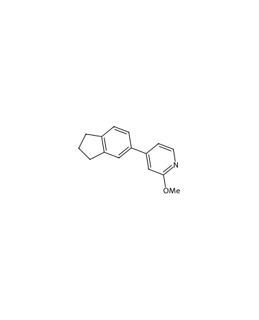 COc1cc(-c2ccc3c(c2)CCC3)ccn1